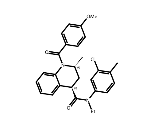 CCN(C(=O)[C@@H]1C[C@@H](C)N(C(=O)c2ccc(OC)cc2)c2ccccc21)c1ccc(C)c(Cl)c1